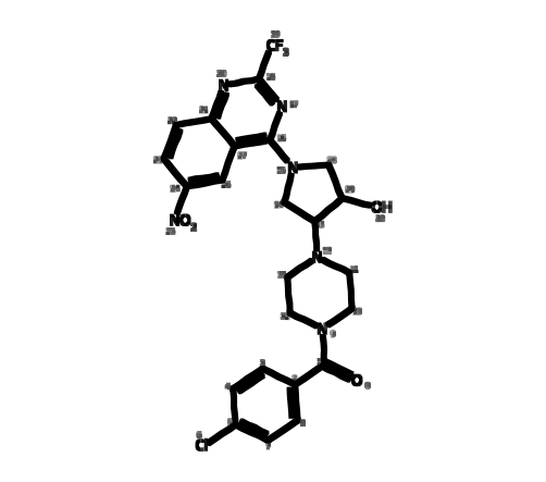 O=C(c1ccc(Cl)cc1)N1CCN(C2CN(c3nc(C(F)(F)F)nc4ccc([N+](=O)[O-])cc34)CC2O)CC1